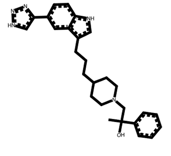 CC(O)(CN1CCC(CCCc2c[nH]c3ccc(-c4c[nH]nn4)cc23)CC1)c1ccccc1